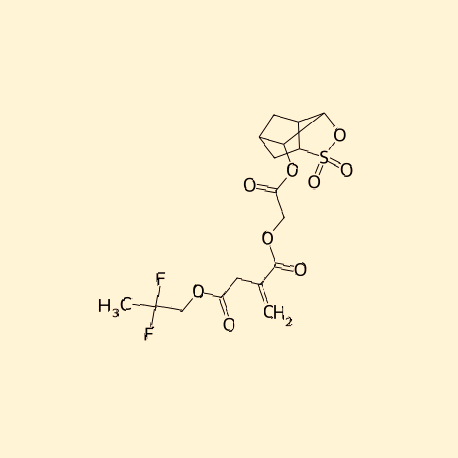 C=C(CC(=O)OCC(C)(F)F)C(=O)OCC(=O)OC1C2CC3C1OS(=O)(=O)C3C2